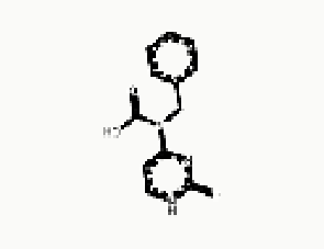 O=C(O)N(Cc1ccccc1)c1cc[nH]c(=O)n1